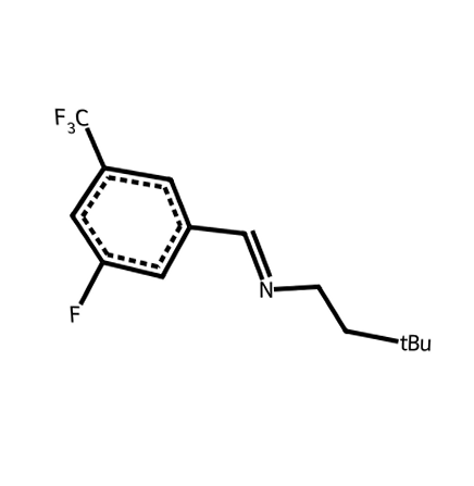 CC(C)(C)CC/N=C/c1cc(F)cc(C(F)(F)F)c1